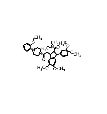 CCOc1ccccc1N1CCN(C(=O)CC2c3cc(OC)c(OC)cc3C(c3ccc(OC)c(OC)c3)C2C(=O)N(C)C)CC1